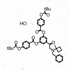 CC(C)(C)C(=O)Oc1ccc(C(=O)Oc2cc(OC(=O)c3ccc(OC(=O)C(C)(C)C)cc3)cc(C(=O)CN(Cc3ccccc3)C3(C)CCC3)c2)cc1.Cl